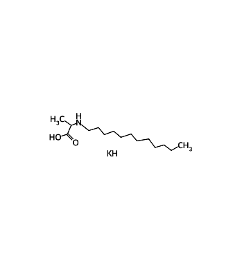 CCCCCCCCCCCCNC(C)C(=O)O.[KH]